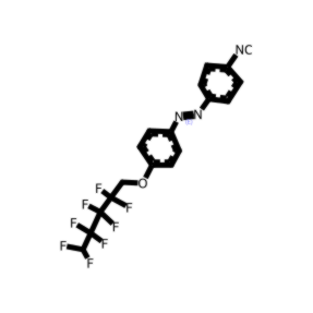 [C-]#[N+]c1ccc(/N=N/c2ccc(OCC(F)(F)C(F)(F)C(F)(F)C(F)F)cc2)cc1